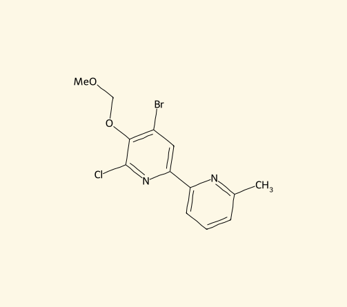 COCOc1c(Br)cc(-c2cccc(C)n2)nc1Cl